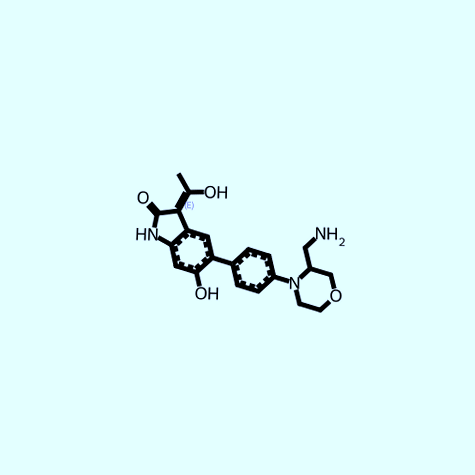 C/C(O)=C1\C(=O)Nc2cc(O)c(-c3ccc(N4CCOCC4CN)cc3)cc21